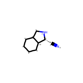 N#C[C@H]1NCC2CCCCC21